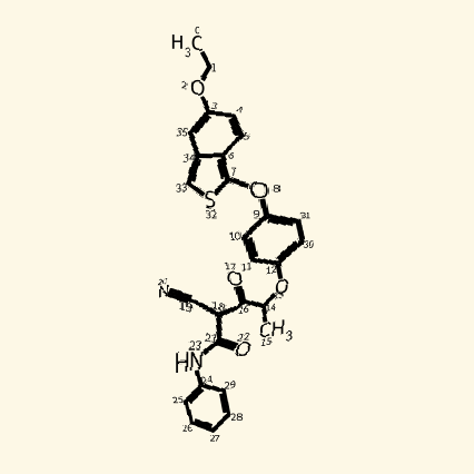 CCOc1ccc2c(Oc3ccc(OC(C)C(=O)C(C#N)C(=O)Nc4ccccc4)cc3)scc2c1